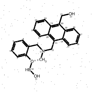 CN(Cc1ccccc1OBO)Cc1c2ccccc2c(CO)c2ccccc12